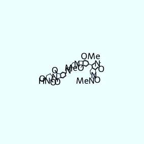 CNC(=O)N1CCc2c(-c3cc(OC)c(CN4CCC5(CC4)CN(c4ccc6c(c4)C(=O)N(C4CCC(=O)NC4=O)C6=O)C5)c(OC)c3)cn(C)c(=O)c2C1